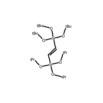 CC(C)O[Si](C=C[Si](OC(C)(C)C)(OC(C)(C)C)OC(C)(C)C)(OC(C)C)OC(C)C